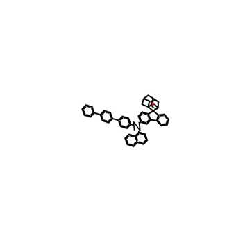 c1ccc(-c2ccc(-c3ccc(N(c4ccc5c(c4)-c4ccccc4C54C5CC6CC7CC4(C6)C7C5)c4cccc5ccccc45)cc3)cc2)cc1